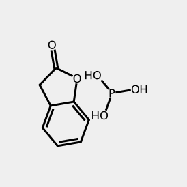 O=C1Cc2ccccc2O1.OP(O)O